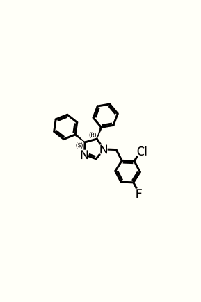 Fc1ccc(CN2C=N[C@@H](c3ccccc3)[C@H]2c2ccccc2)c(Cl)c1